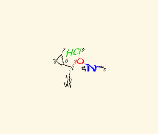 C#CC(ON=C)C1CC1.Cl